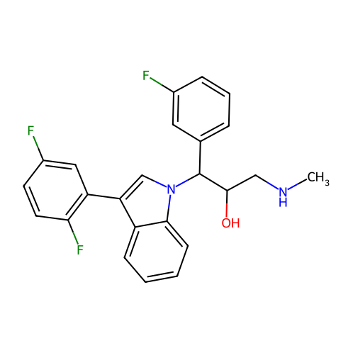 CNCC(O)C(c1cccc(F)c1)n1cc(-c2cc(F)ccc2F)c2ccccc21